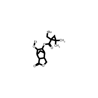 CCOC1C2CC(C3COC(=O)C32)C1OC(=O)C1(CC(C)(C)C)CC1(C)C